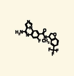 CN(C(=O)c1cc2c(cc1F)nc(N)c1cncn12)C1COc2ccc(C(F)(F)F)cc21